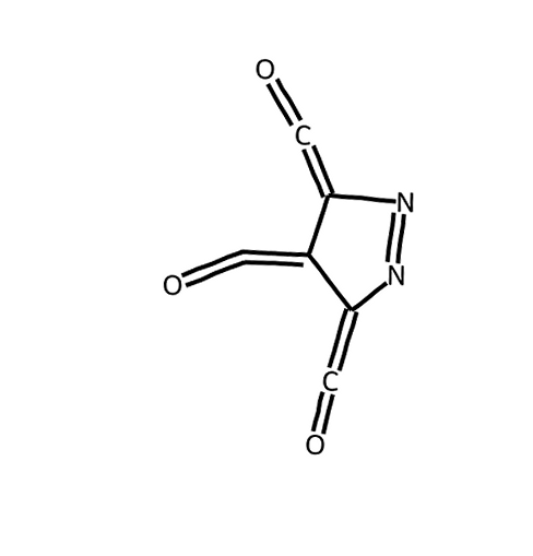 O=C=C1N=NC(=C=O)C1=C=O